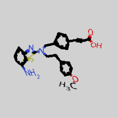 COc1ccc(CCN(Cc2ccc(C#CC(=O)O)cc2)c2nc3cccc(N)c3s2)cc1